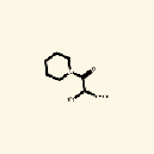 CCCCCCC(CCC)C(=O)N1CCCCC1